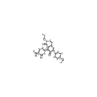 CCOC1C=Cc2cc(-c3ccc(OC)cc3)c(=O)n(C3=CC=C(NC)NC3)c2N1